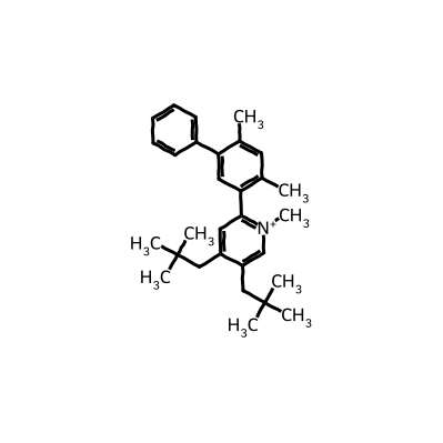 Cc1cc(C)c(-c2cc(CC(C)(C)C)c(CC(C)(C)C)c[n+]2C)cc1-c1ccccc1